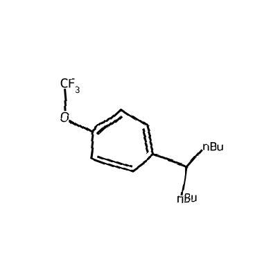 CCCCC(CCCC)c1ccc(OC(F)(F)F)cc1